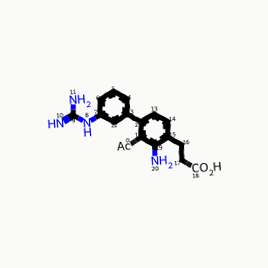 CC(=O)c1c(-c2cccc(NC(=N)N)c2)ccc(CCC(=O)O)c1N